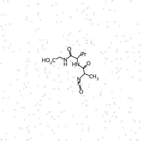 CC(N=C=O)C(=O)NC(C(=O)NCC(=O)O)C(C)C